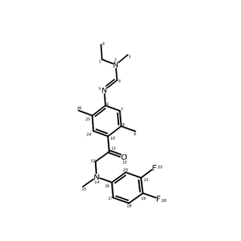 CCN(C)C=Nc1cc(C)c(C(=O)CN(C)c2ccc(F)c(F)c2)cc1C